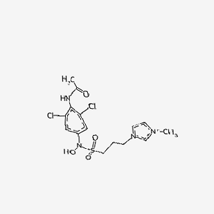 CC(=O)Nc1c(Cl)cc(N(O)S(=O)(=O)CCCn2cc[n+](C)c2)cc1Cl